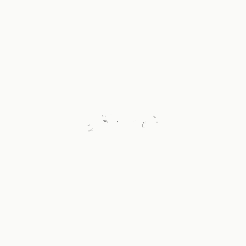 N[C@H](CCS(=O)O)CSSCCSSC[C@H](N)CCS(=O)O